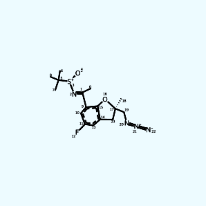 C/C(=N\[S@+]([O-])C(C)(C)C)c1cc(F)cc2c1O[C@@](C)(CN=[N+]=[N-])C2